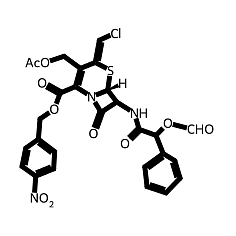 CC(=O)OCC1=C(C(=O)OCc2ccc([N+](=O)[O-])cc2)N2C(=O)C(NC(=O)C(OC=O)c3ccccc3)[C@H]2S/C1=C\Cl